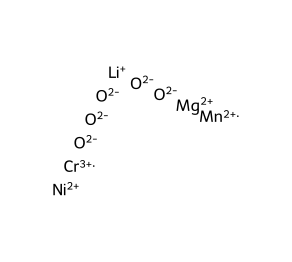 [Cr+3].[Li+].[Mg+2].[Mn+2].[Ni+2].[O-2].[O-2].[O-2].[O-2].[O-2]